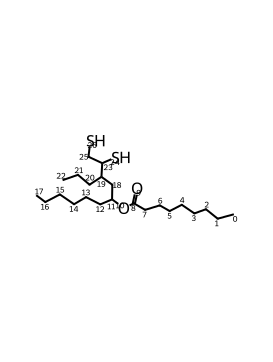 CCCCCCCCC(=O)OC(CCCCCC)CC(CCC)C(S)CS